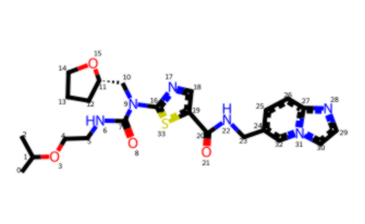 CC(C)OCCNC(=O)N(C[C@@H]1CCCO1)c1ncc(C(=O)NCc2ccc3nccn3c2)s1